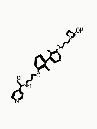 Cc1c(OCCCNC(CO)c2ccncc2)cccc1-c1cccc(OCCCN2CC[C@@H](O)C2)c1C